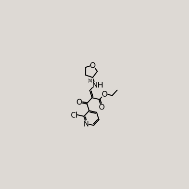 CCOC(=O)C(=CN[C@H]1CCOC1)C(=O)c1cccnc1Cl